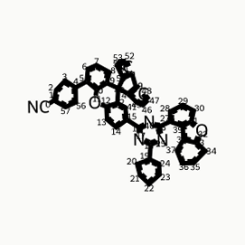 N#Cc1ccc(-c2cccc3c2Oc2ccc(-c4nc(-c5ccccc5)nc(-c5cccc6oc7ccccc7c56)n4)cc2C32c3ccccc3-c3ccccc32)cc1